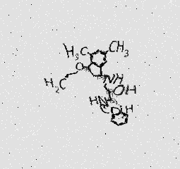 C=CCO[C@@H]1C[C@H](NC[C@H](O)[C@H](Cc2ccccc2)NC(=O)O)c2cc(C)cc(C)c21